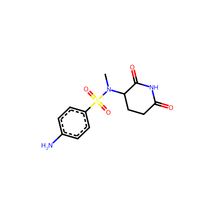 CN(C1CCC(=O)NC1=O)S(=O)(=O)c1ccc(N)cc1